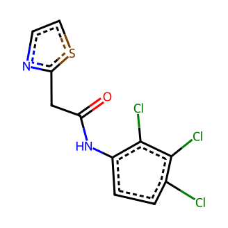 O=C(Cc1nccs1)Nc1ccc(Cl)c(Cl)c1Cl